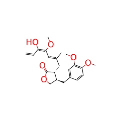 C=C/C(O)=C(\C=C(/C)C[C@H]1C(=O)OC[C@@H]1Cc1ccc(OC)c(OC)c1)OC